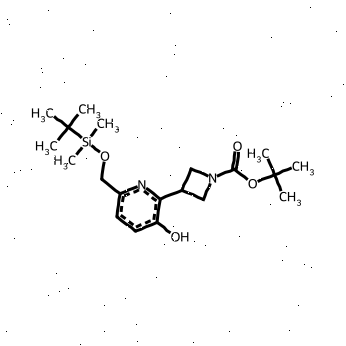 CC(C)(C)OC(=O)N1CC(c2nc(CO[Si](C)(C)C(C)(C)C)ccc2O)C1